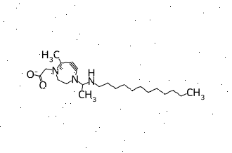 CCCCCCCCCCCCNC(C)N1C#CC(C)=[N+](CC(=O)[O-])CC1